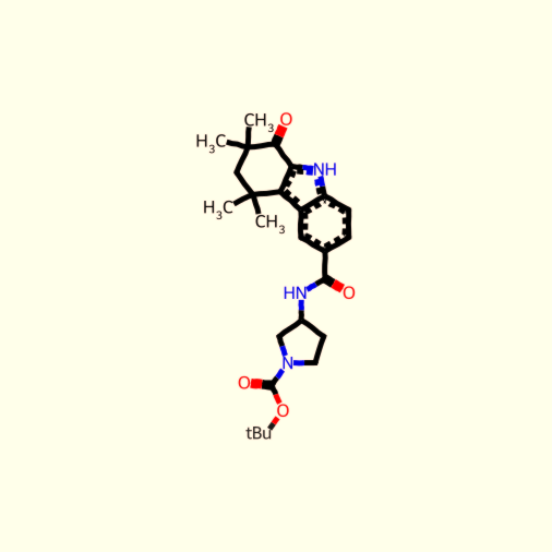 CC(C)(C)OC(=O)N1CCC(NC(=O)c2ccc3[nH]c4c(c3c2)C(C)(C)CC(C)(C)C4=O)C1